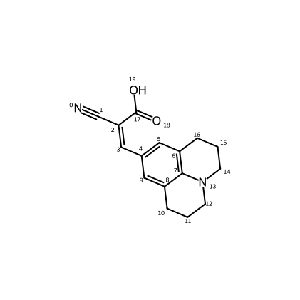 N#CC(=Cc1cc2c3c(c1)CCCN3CCC2)C(=O)O